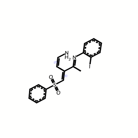 CC(=Nc1ccccc1I)C(/C=C\N)=C/S(=O)(=O)c1ccccc1